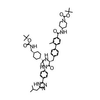 Cc1cc(C(=O)NC2CCN(C(=O)OC(C)(C)C)CC2)ccc1-c1ccc(C[C@H](NC(=O)[C@H]2CC[C@H](CNC(=O)OC(C)(C)C)CC2)C(=O)Nc2ccc(-c3nnc(CC(C)C)[nH]3)cc2)cc1